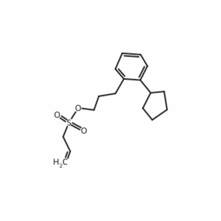 C=CCS(=O)(=O)OCCCc1ccccc1C1CCCC1